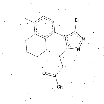 Cc1ccc(-n2c(Br)nnc2SCC(=O)O)c2c1CCCC2